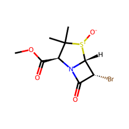 COC(=O)[C@@H]1N2C(=O)[C@@H](Br)[C@H]2[S+]([O-])C1(C)C